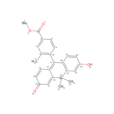 Cc1cc(C(=O)OC(C)(C)C)ccc1C1=C2C=CC(=O)C=C2[Si](C)(C)c2cc(O)ccc21